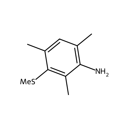 CSc1c(C)cc(C)c(N)c1C